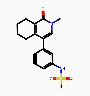 Cn1cc(-c2c#ccc(NS(C)(=O)=O)c2)c2c(c1=O)CCCC2